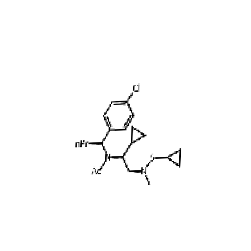 CCCC(c1ccc(Cl)cc1)N(C(C)=O)C(CN(C)SC1CC1)C1CC1